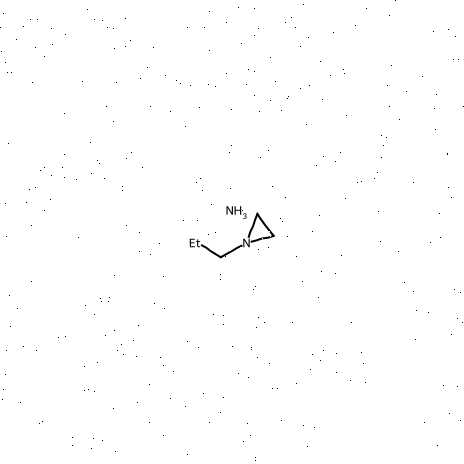 CCCN1CC1.N